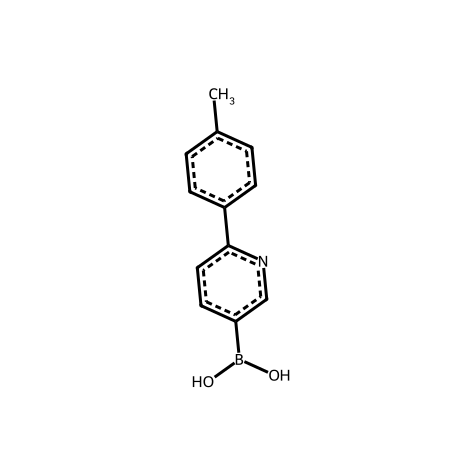 Cc1ccc(-c2ccc(B(O)O)cn2)cc1